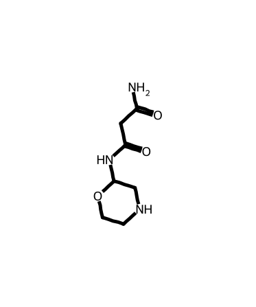 NC(=O)CC(=O)NC1CNCCO1